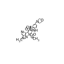 COC(=O)c1nc(-c2cncc3c2ncn3C)c(OC)nc1Nc1ccc(CN2CCOCC2)cc1F